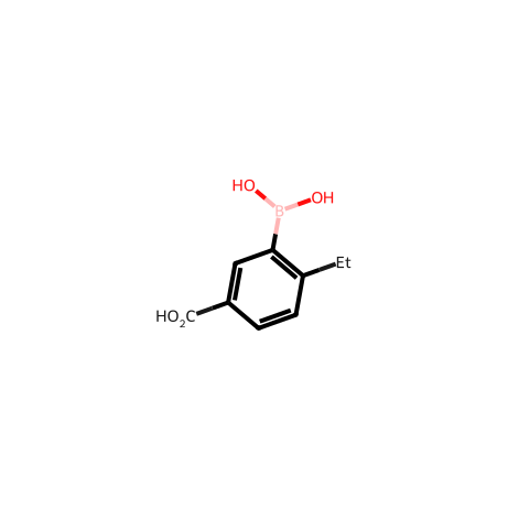 CCc1ccc(C(=O)O)cc1B(O)O